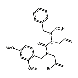 C=CC[C@H](C(=O)N(CC(=C)Br)Cc1ccc(OC)cc1OC)N(Cc1ccccc1)C(=O)O